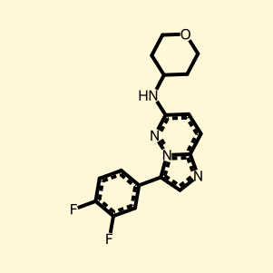 Fc1ccc(-c2cnc3ccc(NC4CCOCC4)nn23)cc1F